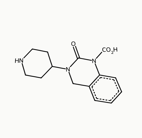 O=C(O)N1C(=O)N(C2CCNCC2)Cc2ccccc21